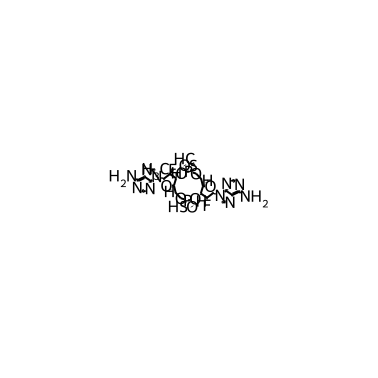 C#S[P@]1(=O)OC[C@H]2O[C@@H](n3cnc4c(N)ncnc43)[C@H](F)[C@@H]2O[P@@](=O)(S)OC[C@H]2O[C@@H](n3cnc4c(N)ncnc43)[C@](C)(F)[C@@H]2O1